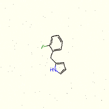 Fc1ccccc1Cc1ccc[nH]1